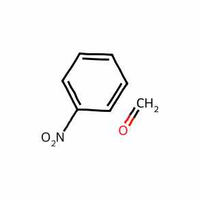 C=O.O=[N+]([O-])c1ccccc1